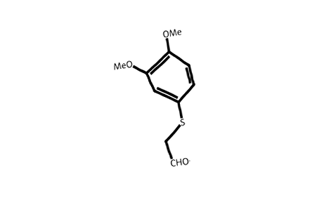 COc1ccc(SC[C]=O)cc1OC